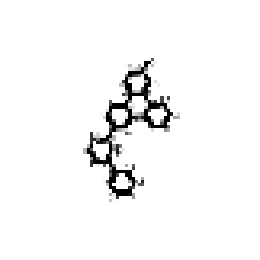 Cc1ccc2c3ccc(-c4nccc(-c5ccccc5)n4)cc3c3ccccc3c2c1